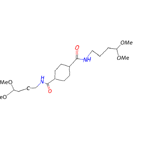 COC(CCCNC(=O)C1CCC(C(=O)NCCCC(OC)OC)CC1)OC